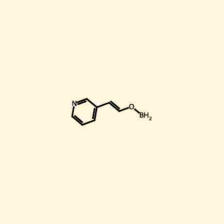 BOC=Cc1cccnc1